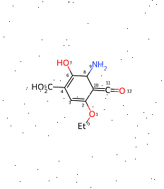 CCOC1=CC(C(=O)O)=C(O)C(N)C1=C=O